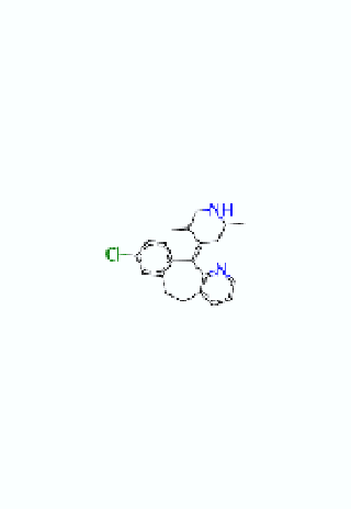 CC1CC(=C2c3ccc(Cl)cc3CCc3cccnc32)C(C)CN1